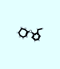 C[CH]c1ccccc1OC1=CCCCCC1